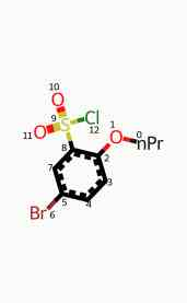 CCCOc1ccc(Br)cc1S(=O)(=O)Cl